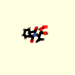 CC(C)C(C(=O)OO)N1C(=O)C2CCCCC2C1=O